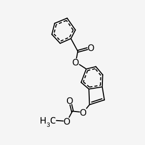 COC(=O)OC1=Cc2ccc(OC(=O)c3ccccc3)cc21